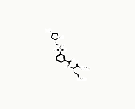 COC(=O)[C@H](CCSC)NC(=O)c1cccc(S(=O)(=O)NC[C@@H]2C[C@H](S)CN2)c1